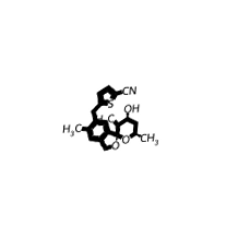 Cc1cc2c(cc1Cc1ccc(C#N)s1)[C@]1(OC2)O[C@H](C)C[C@H](O)C1C